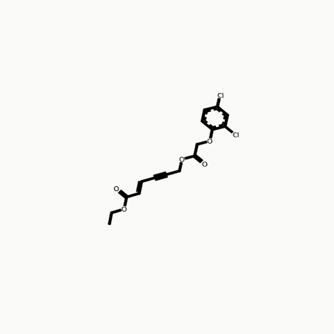 CCOC(=O)/C=C/C#CCOC(=O)COc1ccc(Cl)cc1Cl